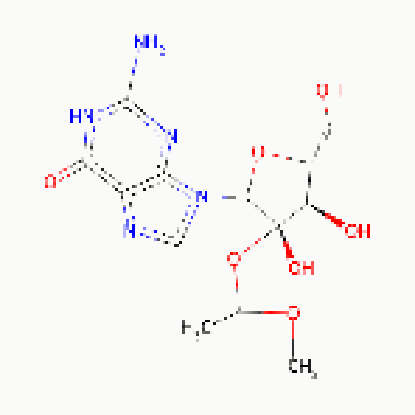 COC(C)O[C@@]1(O)[C@H](O)[C@@H](CO)O[C@H]1n1cnc2c(=O)[nH]c(N)nc21